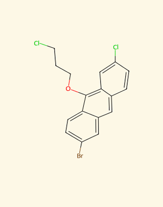 ClCCCOc1c2ccc(Br)cc2cc2ccc(Cl)cc12